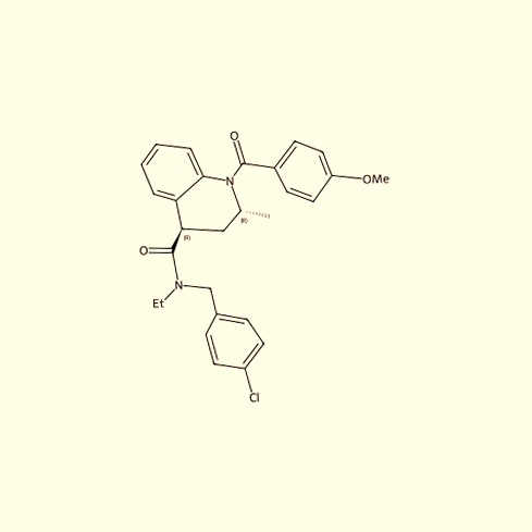 CCN(Cc1ccc(Cl)cc1)C(=O)[C@@H]1C[C@@H](C)N(C(=O)c2ccc(OC)cc2)c2ccccc21